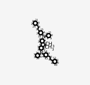 CC1(C)c2cc(N(c3ccccc3)c3ccc(C=Cc4ccccc4)cc3)ccc2-c2ccc(N(c3ccccc3)c3ccc(C=Cc4ccccc4)cc3)cc21